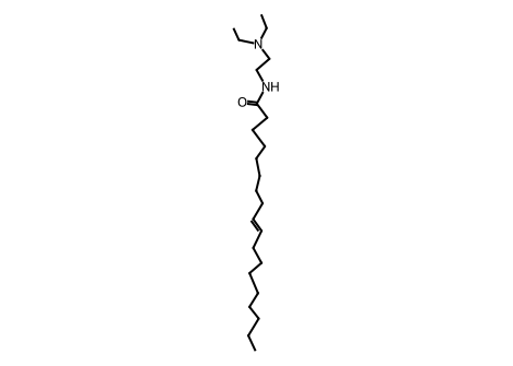 CCCCCCCCC=CCCCCCCCC(=O)NCCN(CC)CC